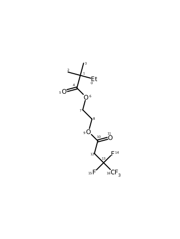 CCC(C)(C)C(=O)OCCOC(=O)CC(F)(F)C(F)(F)F